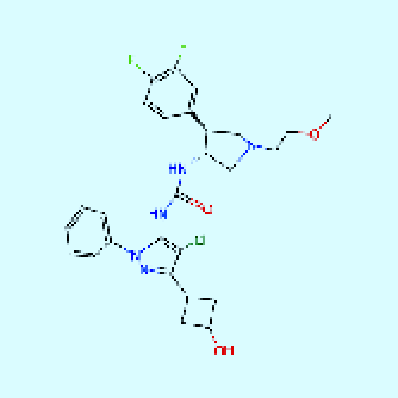 COCCN1C[C@H](NC(=O)Nc2c(Cl)c(C3CC(O)C3)nn2-c2ccccc2)[C@@H](c2ccc(F)c(F)c2)C1